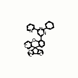 c1ccc(-c2nc(-c3ccccn3)cc(-c3cccc4c3Oc3ccccc3C43c4ccccc4-c4ccccc43)n2)cc1